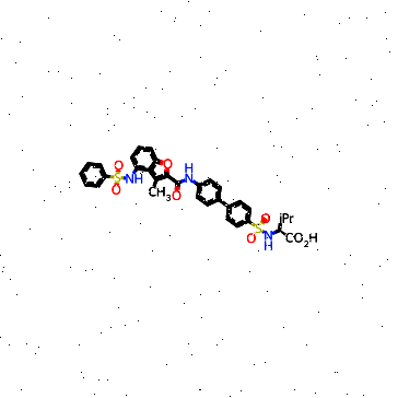 Cc1c(C(=O)Nc2ccc(-c3ccc(S(=O)(=O)N[C@H](C(=O)O)C(C)C)cc3)cc2)oc2cccc(NS(=O)(=O)c3ccccc3)c12